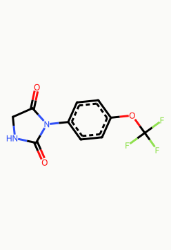 O=C1CNC(=O)N1c1ccc(OC(F)(F)F)cc1